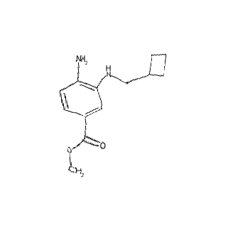 COC(=O)c1ccc(N)c(NCC2CCC2)c1